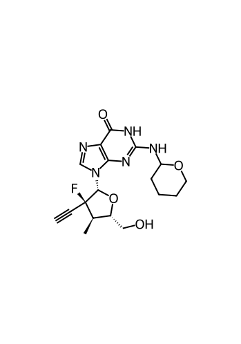 C#C[C@@]1(F)[C@H](C)[C@@H](CO)O[C@H]1n1cnc2c(=O)[nH]c(NC3CCCCO3)nc21